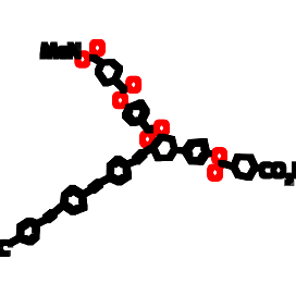 C#Cc1ccc(C#Cc2ccc(C#Cc3ccc(C#CC4(OC(=O)c5ccc(OC(=O)C6CCC(C(=O)ONC)CC6)cc5)CCC(c5ccc(OC(=O)C6CCC(C(=O)OCC)CC6)cc5)CC4)cc3)cc2)cc1